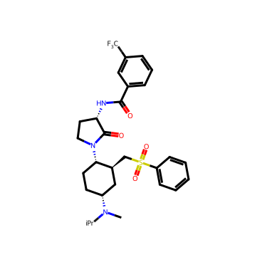 CC(C)N(C)[C@@H]1CC[C@H](N2CC[C@H](NC(=O)c3cccc(C(F)(F)F)c3)C2=O)[C@@H](CS(=O)(=O)c2ccccc2)C1